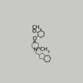 COc1ccccc1O[C@@H]1CCN(CC2Cc3ccccc3C2)[C@@H](C)C1